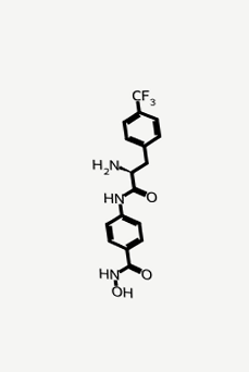 N[C@@H](Cc1ccc(C(F)(F)F)cc1)C(=O)Nc1ccc(C(=O)NO)cc1